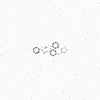 C=C[C@@H](c1ccc(CC2CCCC2=O)cc1)C(F)(S(=O)(=O)c1ccccc1)S(=O)(=O)c1ccccc1